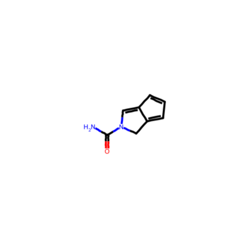 NC(=O)N1C=C2C=CC=C2C1